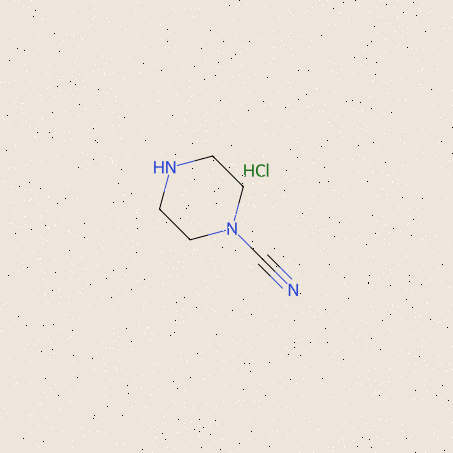 Cl.N#CN1CCNCC1